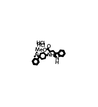 COC(=O)C(Cc1c[nH]c2ccccc12)NC1CCC(c2ccccc2)(N(C)C)CC1.Cl.Cl